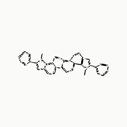 Cn1c(-c2ccccn2)cc2ccc3c4ccc5c(ccc6cc(-c7ccccn7)n(C)c65)c4ccc3c21